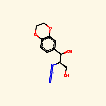 [N-]=[N+]=N[C@H](CO)[C@H](O)c1ccc2c(c1)OCCO2